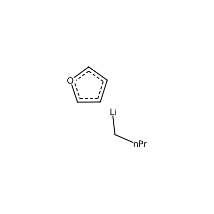 [Li][CH2]CCC.c1ccoc1